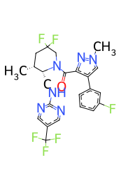 C[C@@H]1CC(F)(F)CN(C(=O)c2nn(C)cc2-c2cccc(F)c2)[C@@H]1CNc1ncc(C(F)(F)F)cn1